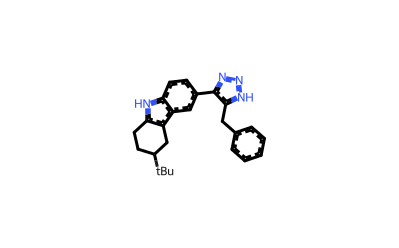 CC(C)(C)C1CCc2[nH]c3ccc(-c4nn[nH]c4Cc4ccccc4)cc3c2C1